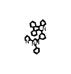 c1ccc(-c2nc(-c3cccc(-c4nc5ccccc5c5c6ccccc6c6ccccc6c45)c3)cc(-c3ccccn3)n2)cc1